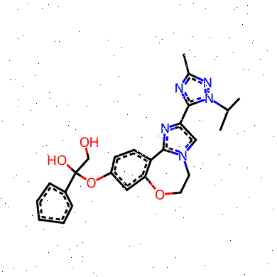 Cc1nc(-c2cn3c(n2)-c2ccc(OC(O)(CO)c4ccccc4)cc2OCC3)n(C(C)C)n1